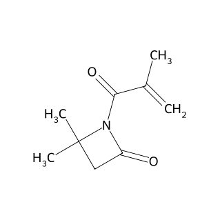 C=C(C)C(=O)N1C(=O)CC1(C)C